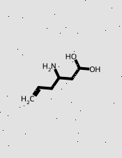 C=CCC(N)CC(O)O